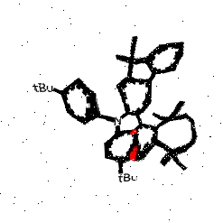 CC(C)(C)c1ccc(N(c2ccc(C(C)(C)C)cc2)c2cc3c(cc2-c2cccc4c2C(C)(C)CCC4(C)C)-c2ccccc2C3(C)C)cc1